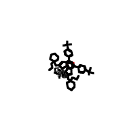 CCCC1(CC2=Cc3c(-c4ccc(C(C)(C)C)cc4)cccc3[CH]2[Zr]([Cl])([Cl])([CH]2C(CC3(CCC)CCCCC3)=Cc3c(-c4ccc(C(C)(C)C)cc4)cccc32)[SiH](C)C)CCCCC1